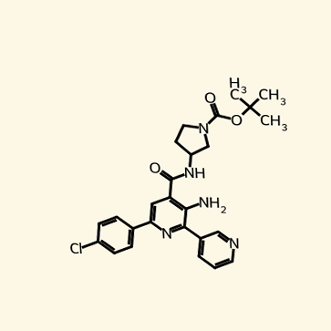 CC(C)(C)OC(=O)N1CCC(NC(=O)c2cc(-c3ccc(Cl)cc3)nc(-c3cccnc3)c2N)C1